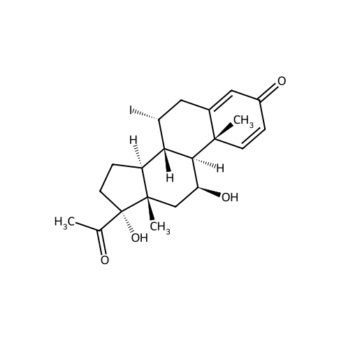 CC(=O)[C@@]1(O)CC[C@H]2[C@H]3[C@H]([C@@H](O)C[C@@]21C)[C@@]1(C)C=CC(=O)C=C1C[C@H]3I